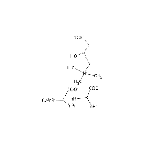 CCCC(CCC)C(=O)[O-].CCCC(CCC)C(=O)[O-].C[N+](C)(C)CC(O)CC(=O)[O-].[Ca+2]